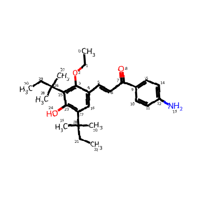 CCOc1c(C=CC(=O)c2ccc(N)cc2)cc(C(C)(C)CC)c(O)c1C(C)(C)CC